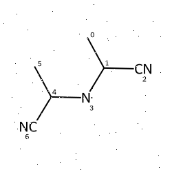 CC(C#N)[N]C(C)C#N